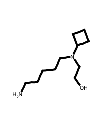 NCCCCCN(CCO)C1CCC1